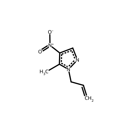 C=CCn1ncc([N+](=O)[O-])c1C